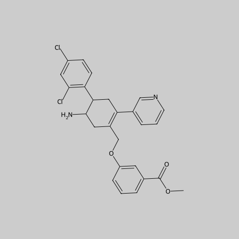 COC(=O)c1cccc(OCC2=C(c3cccnc3)CC(c3ccc(Cl)cc3Cl)C(N)C2)c1